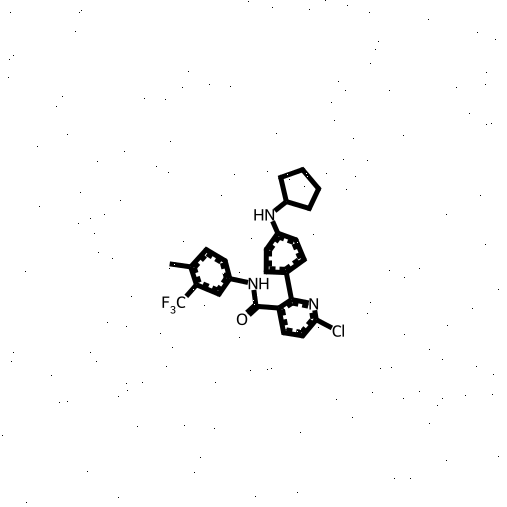 Cc1ccc(NC(=O)c2ccc(Cl)nc2-c2ccc(NC3CCCC3)cc2)cc1C(F)(F)F